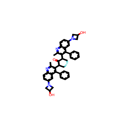 Cc1nc2ccc(N3CC(O)C3)cc2c(-c2ccccc2)c1C(CF)C(=O)C(CF)c1c(C)nc2ccc(N3CC(O)C3)cc2c1-c1ccccc1